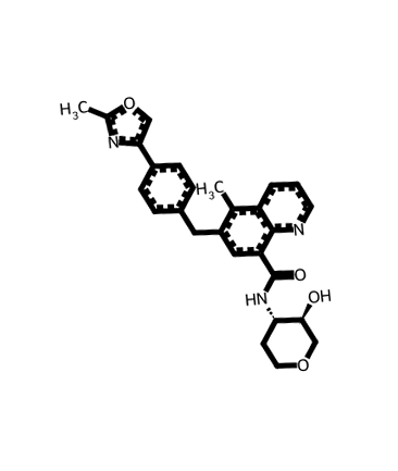 Cc1nc(-c2ccc(Cc3cc(C(=O)N[C@H]4CCOC[C@@H]4O)c4ncccc4c3C)cc2)co1